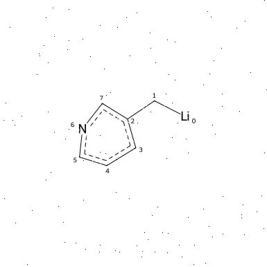 [Li][CH2]c1cccnc1